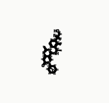 Cc1nc(N[C@H](C)c2cccc(C(F)(F)CO)c2F)c2cn(C34CCC(CC3)CC4)c(=O)cc2n1